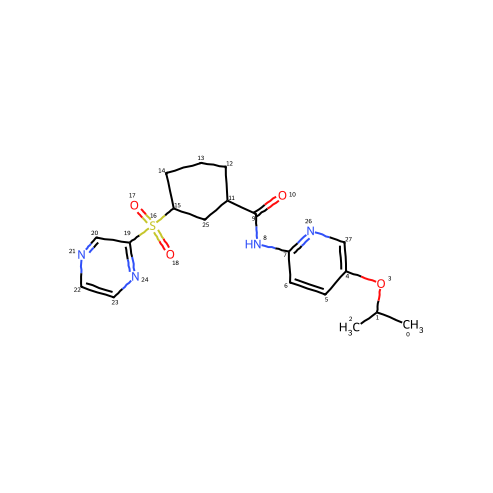 CC(C)Oc1ccc(NC(=O)C2CCCC(S(=O)(=O)c3cnccn3)C2)nc1